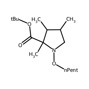 CCCCCON1CC(C)C(C)C1(C)C(=O)OC(C)(C)C